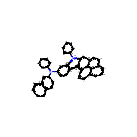 c1ccc(N(c2ccc3ccccc3c2)c2ccc3c4c5ccc6cccc7ccc(cc4n(-c4ccccc4)c3c2)c5c76)cc1